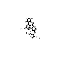 CC1CCC(C)N1Cc1ccc2c(c1)-c1nc(N)nc(-c3ccccc3)c1C2=O